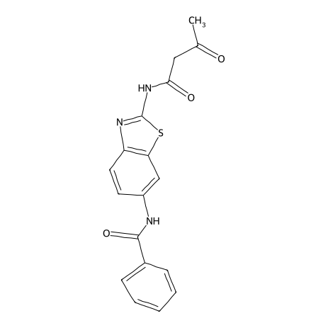 CC(=O)CC(=O)Nc1nc2ccc(NC(=O)c3ccccc3)cc2s1